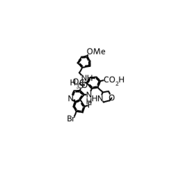 COc1ccc(CNS(=O)(=O)c2cnc3cc(Br)cc(F)c3c2Nc2c(C)ccc(C(=O)O)c2C2COCCN2)cc1